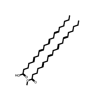 CCCCCC=CCC=CCC=CCC=CCCCC(=O)O.CCCCCC=CCC=CCC=CCC=CCCCC(=O)OC